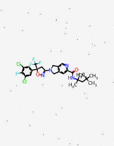 CC(C)(C)CC(C)(C)NC(=O)c1cc2c(cn1)CN(C1=NOC(c3cc(Cl)c(F)c(Cl)c3)(C(F)(F)F)C1)C2